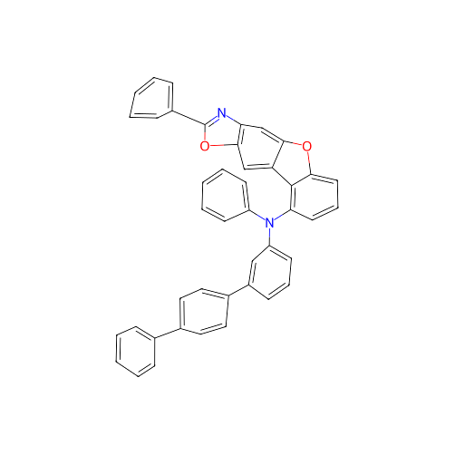 c1ccc(-c2ccc(-c3cccc(N(c4ccccc4)c4cccc5oc6cc7nc(-c8ccccc8)oc7cc6c45)c3)cc2)cc1